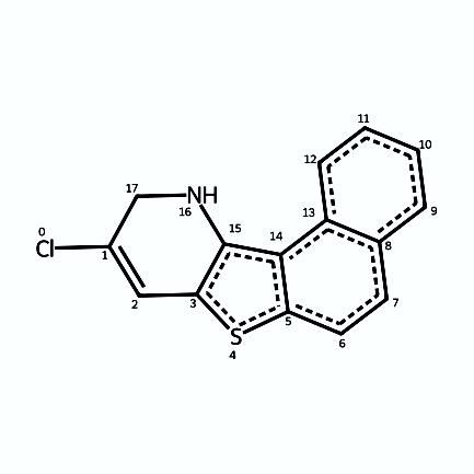 ClC1=Cc2sc3ccc4ccccc4c3c2NC1